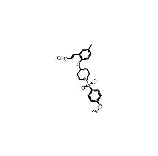 Cc1ccc(OC2CCN(S(=O)(=O)c3ccc(OC(C)C)cc3)CC2)c(/C=C/C=O)c1